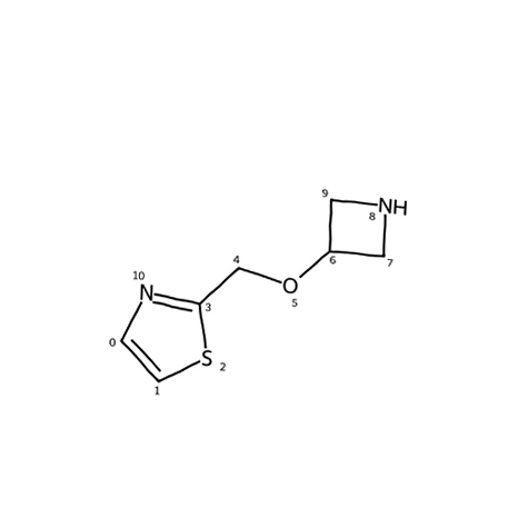 c1csc(COC2CNC2)n1